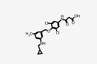 Cc1cc(COc2c(Cl)cc(NC(=O)CC(=O)O)cc2Cl)cc(NCC2CC2)c1